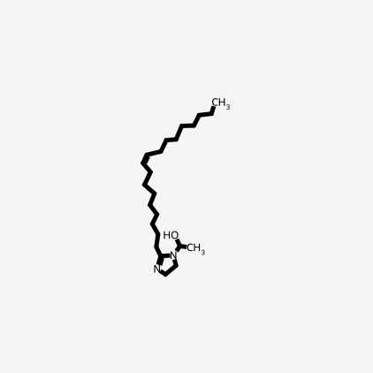 CCCCCCCC/C=C\CCCCCCCCC1=NCCN1C(C)O